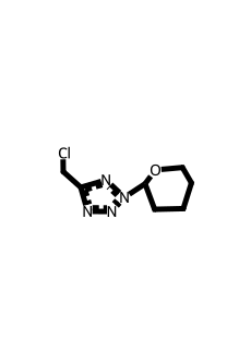 ClCc1nnn(C2CCCCO2)n1